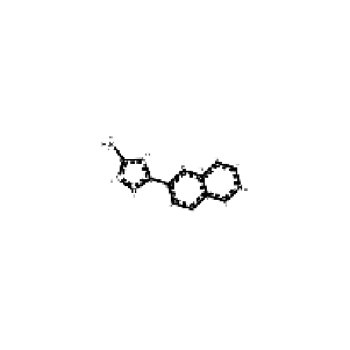 Bc1nnc(-c2ccc3cnccc3c2)s1